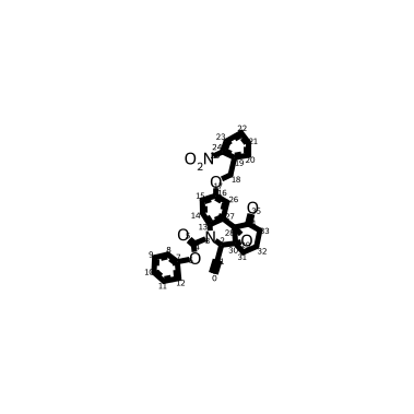 C#CC1N(C(=O)Oc2ccccc2)c2ccc(OCc3ccccc3[N+](=O)[O-])cc2C23OC12CCCC3=O